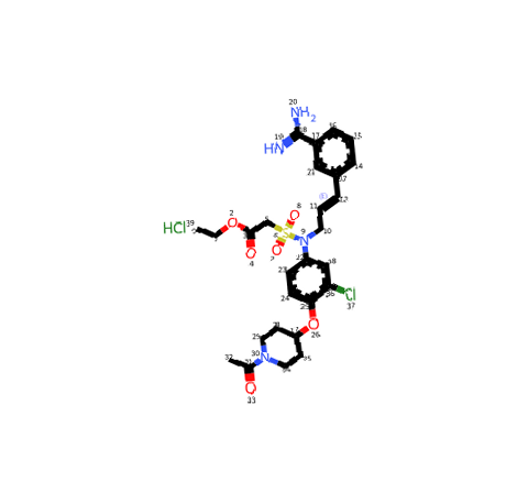 CCOC(=O)CS(=O)(=O)N(C/C=C/c1cccc(C(=N)N)c1)c1ccc(OC2CCN(C(C)=O)CC2)c(Cl)c1.Cl